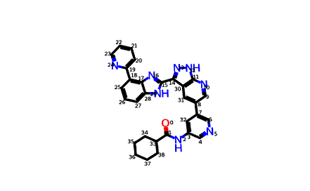 O=C(Nc1cncc(-c2cnc3[nH]nc(-c4nc5c(-c6ccccn6)cccc5[nH]4)c3c2)c1)C1CCCCC1